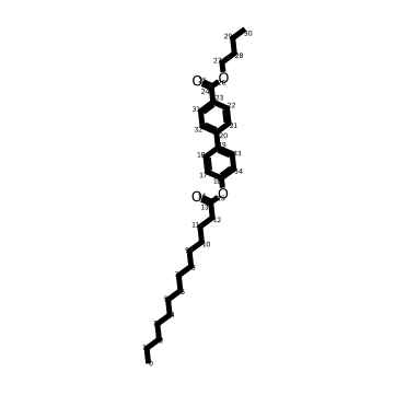 CCCCCCCCCCCCCC(=O)Oc1ccc(-c2ccc(C(=O)OCCCC)cc2)cc1